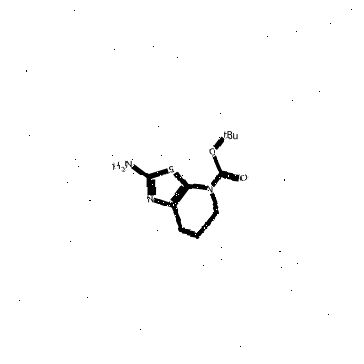 CC(C)(C)OC(=O)N1CCCc2nc(N)sc21